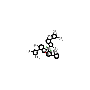 CCCc1ccc2c(c1-c1cc(C(F)(F)F)cc(C(F)(F)F)c1)C=C(C(C)(C)C)[CH]2[Zr]([Cl])([Cl])([c]1cccc2c1[SiH2]c1ccccc1-2)[CH]1C(C(C)(C)C)=Cc2c1ccc(CCC)c2-c1cc(C(F)(F)F)cc(C(F)(F)F)c1